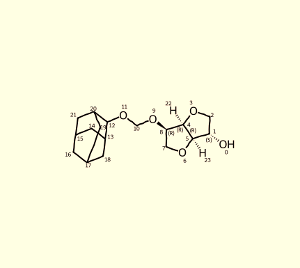 O[C@H]1CO[C@H]2[C@@H]1OC[C@H]2OCOC1C2CC3CC(C2)CC1C3